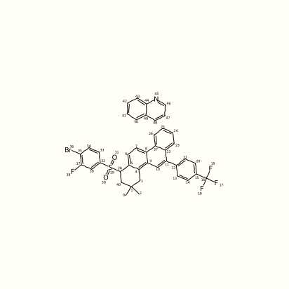 CC1(C)Cc2c(ccc3c2cc(-c2ccc(C(F)(F)F)cc2)c2ccccc23)C(S(=O)(=O)c2ccc(Br)c(F)c2)C1.c1ccc2ncccc2c1